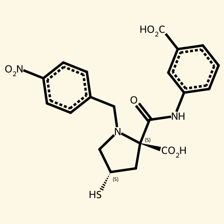 O=C(O)c1cccc(NC(=O)[C@]2(C(=O)O)C[C@H](S)CN2Cc2ccc([N+](=O)[O-])cc2)c1